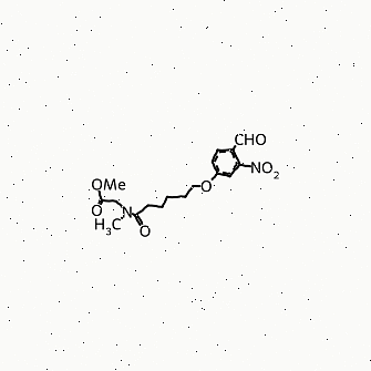 COC(=O)CN(C)C(=O)CCCCCOc1ccc(C=O)c([N+](=O)[O-])c1